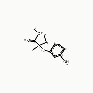 CC[C@](C)(Oc1cccc(O)c1)C(=O)OC